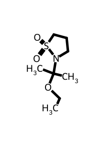 CCOC(C)(C)N1CCCS1(=O)=O